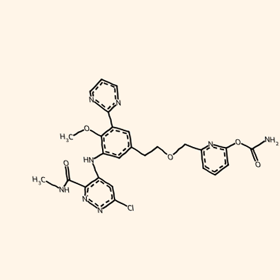 CNC(=O)c1nnc(Cl)cc1Nc1cc(CCOCc2cccc(OC(N)=O)n2)cc(-c2ncccn2)c1OC